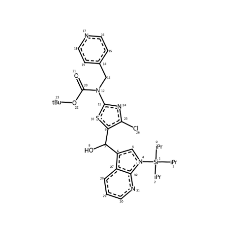 CC(C)[Si](C(C)C)(C(C)C)n1cc(C(O)c2sc(N(Cc3ccncc3)C(=O)OC(C)(C)C)nc2Cl)c2cccnc21